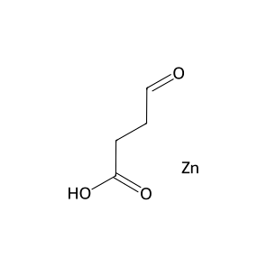 O=CCCC(=O)O.[Zn]